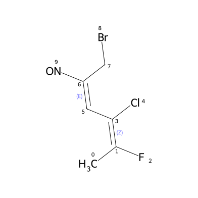 C/C(F)=C(Cl)\C=C(/CBr)N=O